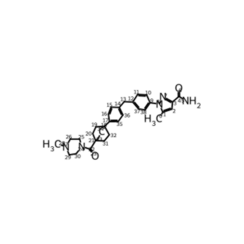 Cc1cc(C(N)=O)nn1-c1ccc(Cc2ccc(C34CCC(C(=O)N5CCN(C)CC5)(CC3)CC4)cc2)cc1